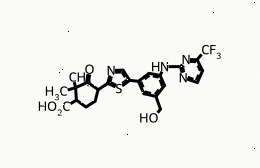 CC1(C)C(=O)C(c2ncc(-c3cc(CO)cc(Nc4nccc(C(F)(F)F)n4)c3)s2)CCC1C(=O)O